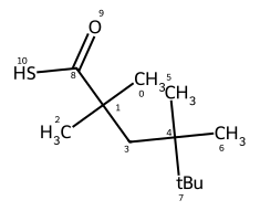 CC(C)(CC(C)(C)C(C)(C)C)C(=O)S